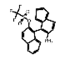 O=S(=O)(Oc1ccc2ccccc2c1-c1c(P)ccc2ccccc12)C(F)(F)F